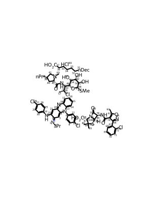 CC(C)/N=c1\cc2n(-c3ccc(Cl)cc3)c3ccccc3nc-2cc1Nc1ccc(Cl)cc1.CCCCCCCCCCCCCCCC(=O)O.CCC[C@@H]1C[C@@H](C(=O)N[C@@H]([C@H]2O[C@H](SC)[C@H](O)[C@@H](O)[C@H]2O)[C@H](C)Cl)N(C)C1.Cc1onc(-c2ccccc2Cl)c1C(=O)N[C@@H]1C(=O)N2[C@@H]1SC(C)(C)[C@@H]2C(=O)O.Cl